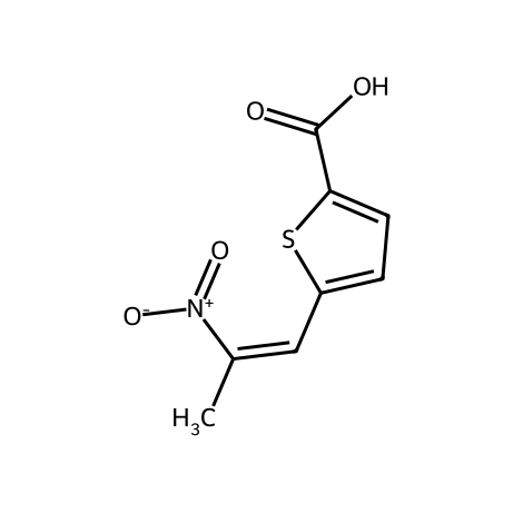 CC(=Cc1ccc(C(=O)O)s1)[N+](=O)[O-]